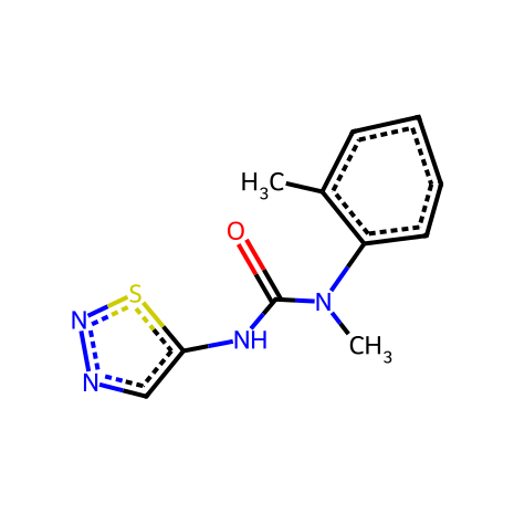 Cc1ccccc1N(C)C(=O)Nc1cnns1